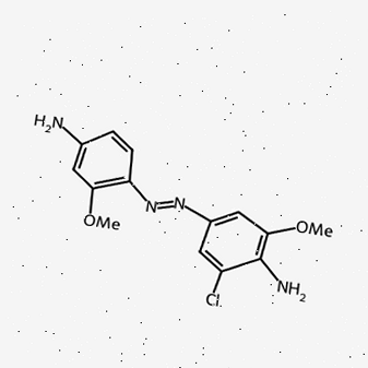 COc1cc(N)ccc1/N=N/c1cc(Cl)c(N)c(OC)c1